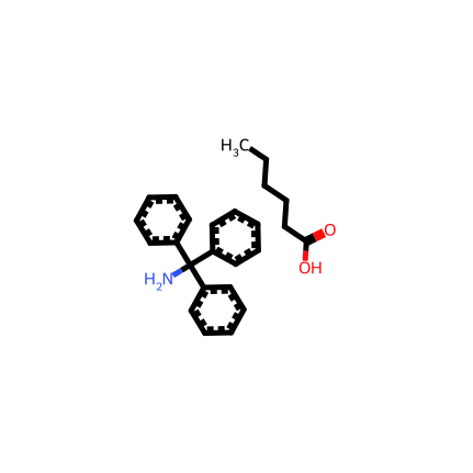 CCCCCC(=O)O.NC(c1ccccc1)(c1ccccc1)c1ccccc1